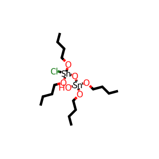 CCCC[O][Sn]([OH])([O]CCCC)[O][Sn]([Cl])([O]CCCC)[O]CCCC